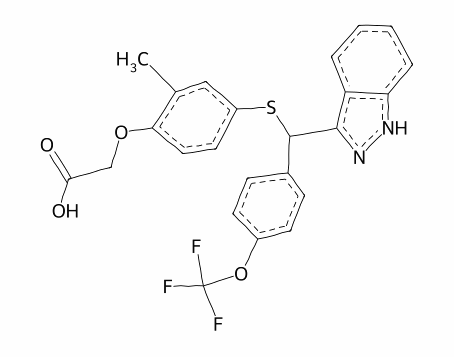 Cc1cc(SC(c2ccc(OC(F)(F)F)cc2)c2n[nH]c3ccccc23)ccc1OCC(=O)O